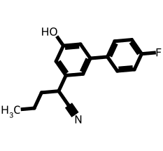 CCCC(C#N)c1cc(O)cc(-c2ccc(F)cc2)c1